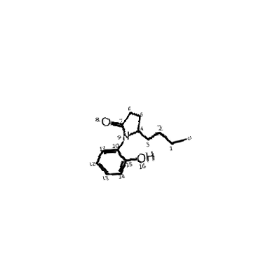 CCCCC1CCC(=O)N1c1ccccc1O